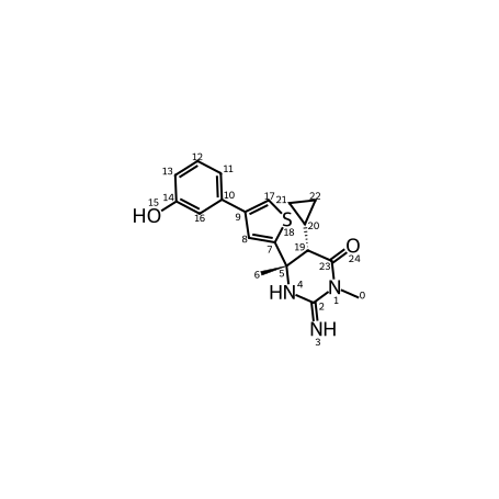 CN1C(=N)N[C@](C)(c2cc(-c3cccc(O)c3)cs2)[C@H](C2CC2)C1=O